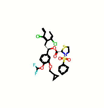 C=C/C(Cl)=C(C[C@H](OC(=O)[C@@H]1SCCN1S(=O)(=O)c1ccccc1)c1ccc(OC(F)F)c(OCC2CC2)c1)\C(Cl)=C/C